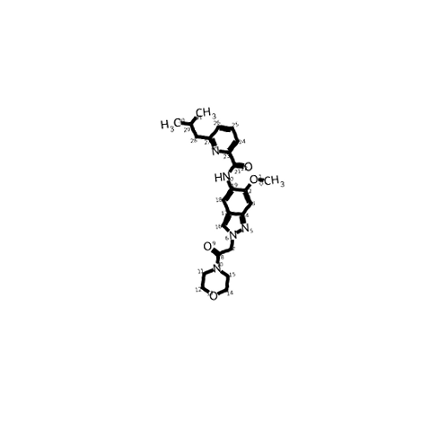 COc1cc2nn(CC(=O)N3CCOCC3)cc2cc1NC(=O)c1cccc(CC(C)C)n1